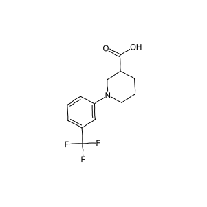 O=C(O)C1CCCN(c2cccc(C(F)(F)F)c2)C1